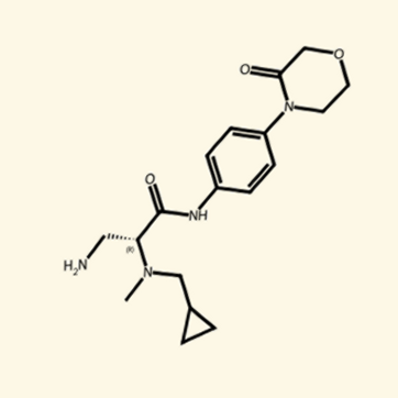 CN(CC1CC1)[C@H](CN)C(=O)Nc1ccc(N2CCOCC2=O)cc1